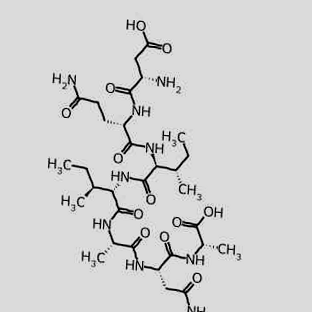 CC[C@H](C)[C@H](NC(=O)[C@H](CCC(N)=O)NC(=O)[C@@H](N)CC(=O)O)C(=O)N[C@H](C(=O)N[C@@H](C)C(=O)N[C@@H](CC(N)=O)C(=O)N[C@@H](C)C(=O)O)[C@@H](C)CC